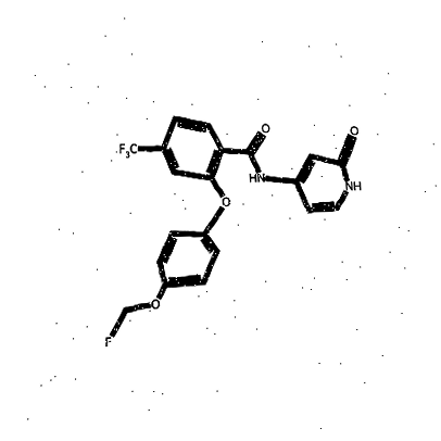 O=C(Nc1cc[nH]c(=O)c1)c1ccc(C(F)(F)F)cc1Oc1ccc(OCF)cc1